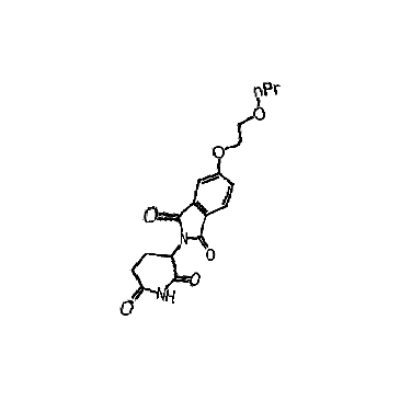 CCCOCCOc1ccc2c(c1)C(=O)N(C1CCC(=O)NC1=O)C2=O